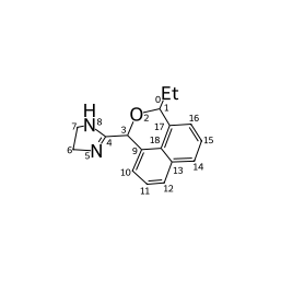 CCC1OC(C2=NCCN2)c2cccc3cccc1c23